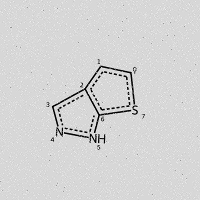 [c]1cc2cn[nH]c2s1